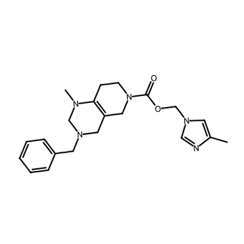 Cc1cn(COC(=O)N2CCC3=C(CN(Cc4ccccc4)CN3C)C2)cn1